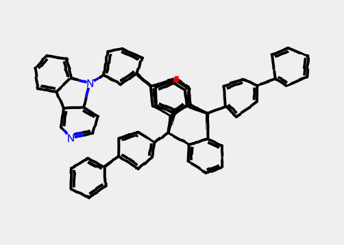 c1ccc(-c2ccc(C34c5ccccc5C(c5ccc(-c6ccccc6)cc5)(c5ccccc53)c3cc(-c5cccc(-n6c7ccccc7c7cnccc76)c5)ccc34)cc2)cc1